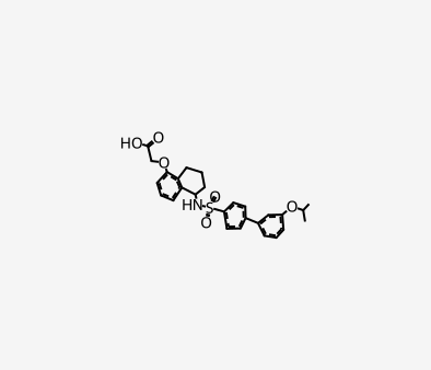 CC(C)Oc1cccc(-c2ccc(S(=O)(=O)NC3CCCc4c(OCC(=O)O)cccc43)cc2)c1